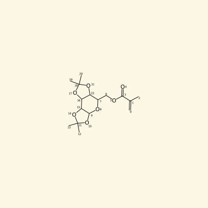 C=C(C)C(=O)OCC1OC2OC(C)(C)OC2C2OC(C)(C)OC12